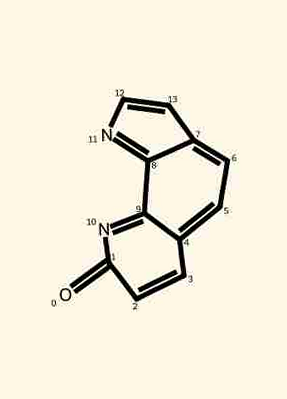 O=C1C=Cc2ccc3c(c2=N1)=NC=C3